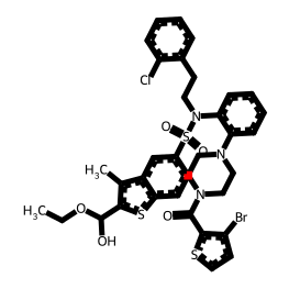 CCOC(O)c1sc2ccc(S(=O)(=O)N(CCc3ccccc3Cl)c3ccccc3N3CCN(C(=O)c4sccc4Br)CC3)cc2c1C